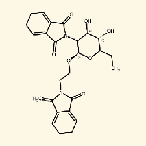 C=C1C2=CCCC=C2C(=O)N1CCO[C@@H]1OC(CC)[C@@H](O)[C@H](O)C1N1C(=O)C2=CCCC=C2C1=O